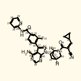 N#C/C(=C/C1CC1)C(=O)N1C[C@@H]2C[C@@H]1[C@@H](n1nc(-c3ccc(C(=O)Nc4ccccn4)cc3F)c3c(N)ncnc31)C2